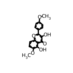 COc1ccc(-c2oc3ccc(OC)c(O)c3c(=O)c2O)cc1